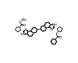 CC(C)(C)OC(=O)N1CCC[C@H]1c1nc2c(ccc3cc(-c4ccc5c(ccc6[nH]c([C@@H]7CCCN7CC(=O)c7ccccc7)nc65)c4)ccc32)[nH]1